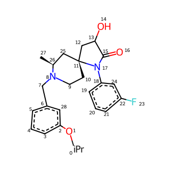 CC(C)Oc1cccc(CN2CC[C@]3(CC(O)C(=O)N3c3cccc(F)c3)C[C@@H]2C)c1